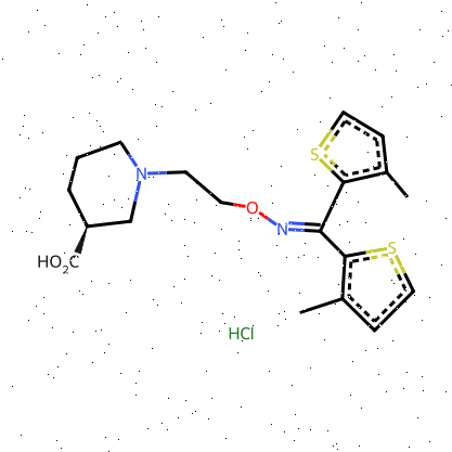 Cc1ccsc1C(=NOCCN1CCC[C@H](C(=O)O)C1)c1sccc1C.Cl